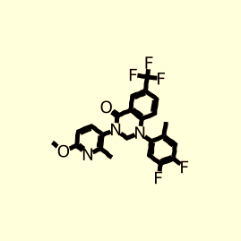 COc1ccc(N2CN(c3cc(F)c(F)cc3C)c3ccc(C(F)(F)F)cc3C2=O)c(C)n1